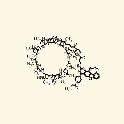 C=CC(=O)N1CCN(c2nc(NCCC(=O)N3CCN(C(=O)CCC[C@@H](C)[C@@H](O)[C@H]4C(=O)N[C@@H](CC)C(=O)N(C)CC(=O)N(C)[C@@H](CC(C)C)C(=O)N[C@@H](C(C)C)C(=O)N(C)[C@@H](CC(C)C)C(O)N[C@@H](C)C(=O)N[C@H](C)C(=O)N(C)[C@@H](CC(C)C)C(=O)N(C)[C@@H](CC(C)C)C(=O)N(C)[C@@H](C(C)C)C(=O)N4C)CC3)nc3c4c(c(Cl)cc23)-c2c(F)cccc2OC/C=C/4)CC1